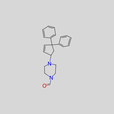 O=CN1CCN(C2C=CC(c3ccccc3)(c3ccccc3)C2)CC1